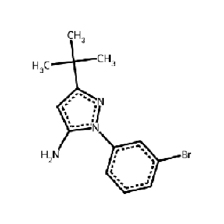 CC(C)(C)c1cc(N)n(-c2cccc(Br)c2)n1